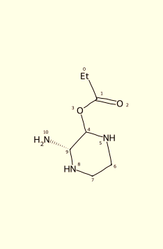 CCC(=O)OC1NCCN[C@@H]1N